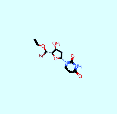 C=COC(Br)[C@H]1O[C@@H](n2ccc(=O)[nH]c2=O)C[C@@H]1O